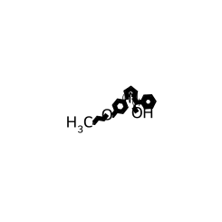 CCCCOCC1CCC([C@H]2CCCN2[C@H](CO)c2ccccc2)CC1